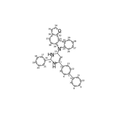 C1=C(c2ccc(-c3ccccc3)cc2)NC(c2ccccc2)NC1n1c2ccccc2c2c3occc3ccc21